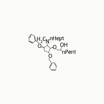 CCCCCCCN(C)C1C(OCc2ccccc2)CC(OCc2ccccc2)C1OCC(O)CCCCC